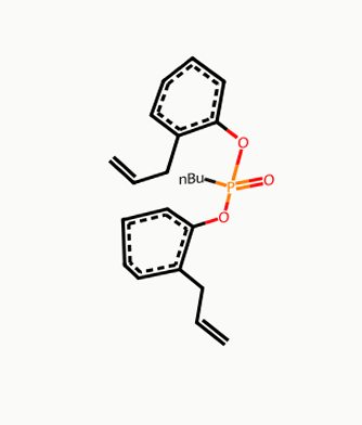 C=CCc1ccccc1OP(=O)(CCCC)Oc1ccccc1CC=C